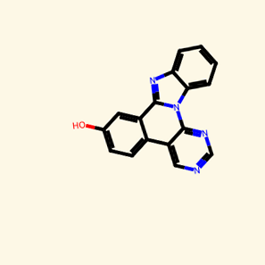 Oc1ccc2c3cncnc3n3c4ccccc4nc3c2c1